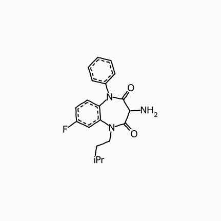 CC(C)CCN1C(=O)C(N)C(=O)N(c2ccccc2)c2ccc(F)cc21